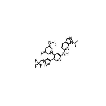 CC(C)n1ncc2ccc(Nc3cc(N4C[C@@H](N)C[C@H](F)C4)c(-c4cnn(CC(F)(F)F)c4)cn3)nc21